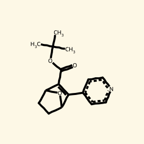 CC(C)(C)OC(=O)C1=C(c2ccncc2)C2CCC1O2